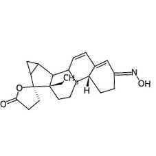 CC[C@]12CCC3C(C=CC4=C/C(=N/O)CC[C@@H]43)C1C1CC1[C@@]21CCC(=O)O1